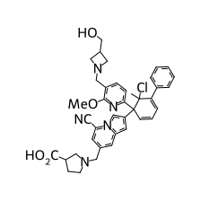 COc1nc(C2(c3cc4cc(CN5CCC(C(=O)O)C5)cc(C#N)n4c3)C=CC=C(c3ccccc3)C2(C)Cl)ccc1CN1CC(CO)C1